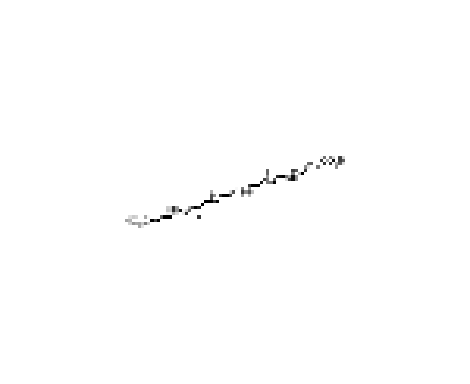 O=C(O)CCCCNCCNCCNCCNCCNCCNCCCC(=O)O